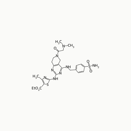 CCOC(=O)c1sc(Nc2nc3c(c(NCc4ccc(S(N)(=O)=O)cc4)n2)CN(C(=O)CN(C)C)CC3)nc1C